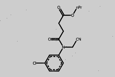 CCCOC(=O)CCC(=O)N(CC#N)c1cccc(Cl)c1